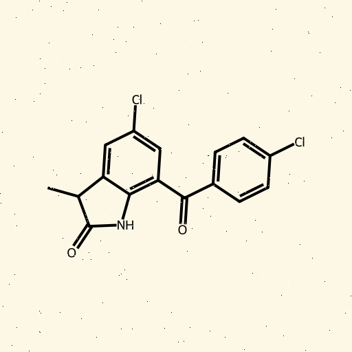 CC1C(=O)Nc2c(C(=O)c3ccc(Cl)cc3)cc(Cl)cc21